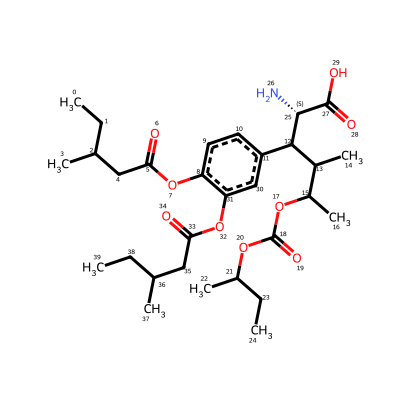 CCC(C)CC(=O)Oc1ccc(C(C(C)C(C)OC(=O)OC(C)CC)[C@H](N)C(=O)O)cc1OC(=O)CC(C)CC